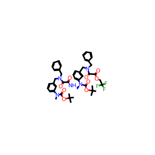 CN(C(=O)OC(C)(C)C)c1cccc(CN(Cc2ccccc2)C(=O)C(=O)OCC(F)(F)F)c1.CN(C(=O)OC(C)(C)C)c1cccc(CN(Cc2ccccc2)C(=O)C(N)=O)c1